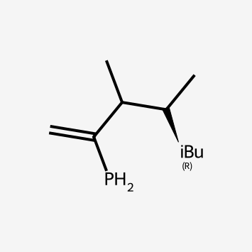 C=C(P)C(C)C(C)[C@H](C)CC